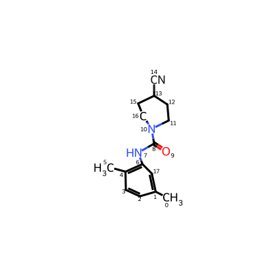 Cc1ccc(C)c(NC(=O)N2CCC(C#N)CC2)c1